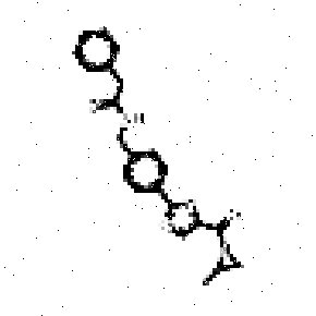 CC1CN1C(=O)c1coc(-c2ccc(CNC(=O)Cc3ccccc3)cc2)n1